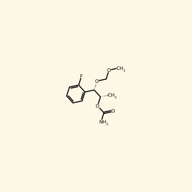 COCO[C@@H](c1ccccc1F)[C@H](C)OC(N)=O